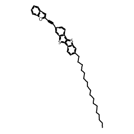 CCCCCCCCCCCCCCCCCCc1ccc2c(c1)sc1c3ccc(C#Cc4cc5ccccc5o4)cc3sc21